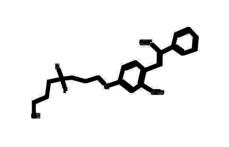 COc1cc(OCCCC(F)(F)CCCO)ccc1/C=C(\C=O)c1ccccc1